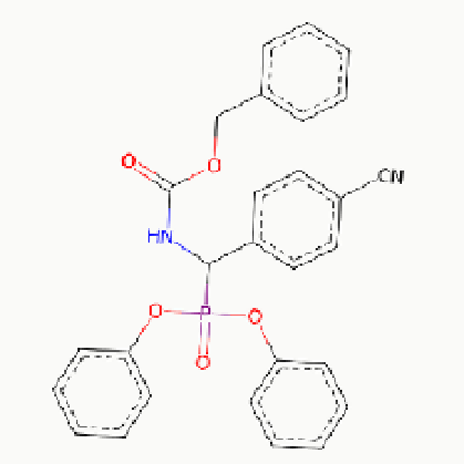 N#Cc1ccc(C(NC(=O)OCc2ccccc2)P(=O)(Oc2ccccc2)Oc2ccccc2)cc1